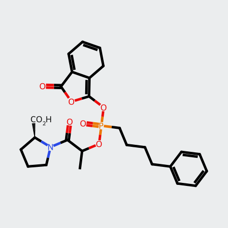 CC(OP(=O)(CCCCc1ccccc1)OC1=C2CC=CC=C2C(=O)O1)C(=O)N1CCC[C@H]1C(=O)O